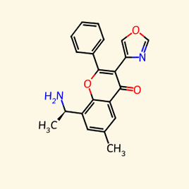 Cc1cc([C@@H](C)N)c2oc(-c3ccccc3)c(-c3cocn3)c(=O)c2c1